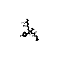 [CH2]CC(O)CC(O)CCn1c(-c2ccc(F)cc2)nc(C(=O)NCC2CC2)c1C(C)C